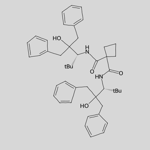 CC(C)(C)[C@@H](NC(=O)C1(C(=O)N[C@H](C(C)(C)C)C(O)(Cc2ccccc2)Cc2ccccc2)CCC1)C(O)(Cc1ccccc1)Cc1ccccc1